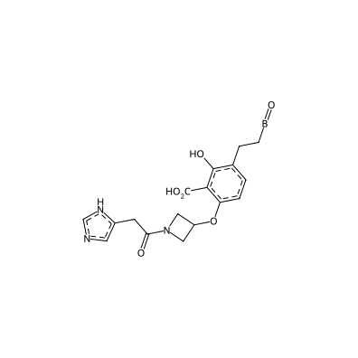 O=BCCc1ccc(OC2CN(C(=O)Cc3cnc[nH]3)C2)c(C(=O)O)c1O